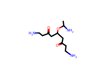 CC(N)OC(CC(=O)CCN)CC(=O)CCN